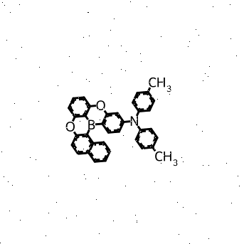 Cc1ccc(N(c2ccc(C)cc2)c2ccc3c(c2)Oc2cccc4c2B3c2c(ccc3ccccc23)O4)cc1